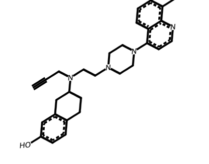 C#CCN(CCN1CCN(c2ccnc3c(C)cccc23)CC1)C1CCc2ccc(O)cc2C1